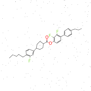 CCCCCc1ccc(C2CCC(C(=O)Oc3ccc(-c4ccc(CCC)cc4)c(F)c3F)CC2)cc1F